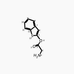 NCC(=O)Oc1cc2ccccc2s1